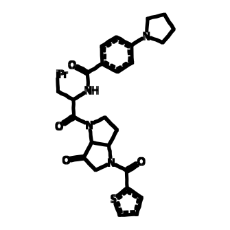 CC(C)CC(NC(=O)c1ccc(N2CCCC2)cc1)C(=O)N1CCC2C1C(=O)CN2C(=O)c1cccs1